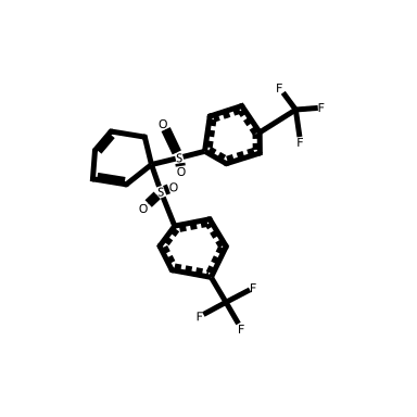 O=S(=O)(c1ccc(C(F)(F)F)cc1)C1(S(=O)(=O)c2ccc(C(F)(F)F)cc2)C=CC=CC1